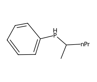 CCCC(C)Pc1ccccc1